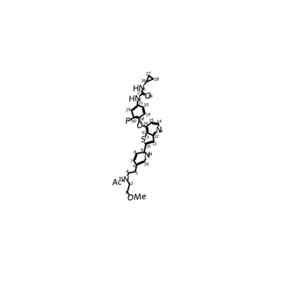 COCCN(CCc1ccc(-c2cc3nccc(Oc4ccc(NC(=O)NC5CC5)cc4F)c3s2)nc1)C(C)=O